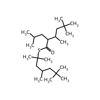 CC(C)CC(C(=O)SC(C)(C)CC(C)CC(C)(C)C)C(C)CC(C)(C)C